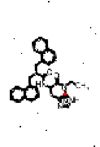 CCN(C#N)C(=O)C(Cc1c[nH]cn1)NC(=O)C(Cc1cccc2ccccc12)Cc1cccc2ccccc12